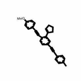 COc1ccc(C#Cc2ccc(C#Cc3ccc(C)cc3)cc2C2=CCCC2)cc1